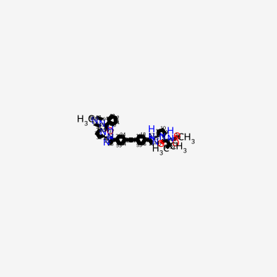 COC(=O)N[C@H](C(=O)N1CCC[C@H]1c1ncc(-c2ccc(C#Cc3ccc(-c4cnc([C@@H]5CCCN5C(=O)[C@@H](c5ccccc5)N5CCN(C)CC5)[nH]4)cc3)cc2)[nH]1)C(C)C